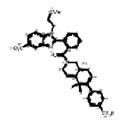 COCCn1c(-c2ccccc2C(=O)N2CC=C3C(C)(C)C(c4ccc(C(=O)O)cc4)=CC[C@]3(C)C2)nc2cc(C(=O)O)ccc21